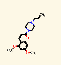 C=CCN1CCN(C(=O)/C=C\c2ccc(OC)cc2OC)CC1